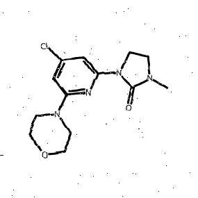 CN1CCN(c2cc(Cl)cc(N3CCOCC3)n2)C1=O